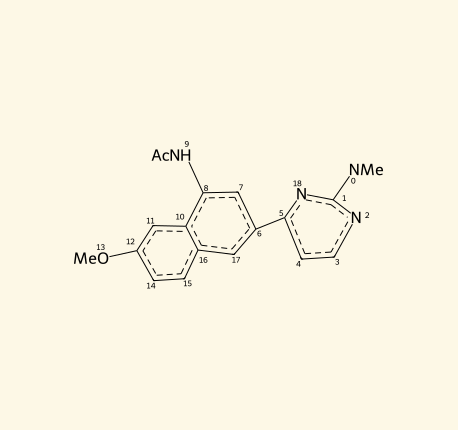 CNc1nccc(-c2cc(NC(C)=O)c3cc(OC)ccc3c2)n1